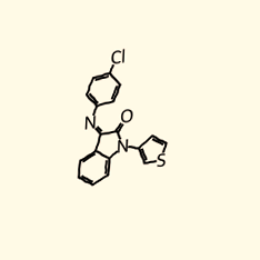 O=C1/C(=N\c2ccc(Cl)cc2)c2ccccc2N1c1ccsc1